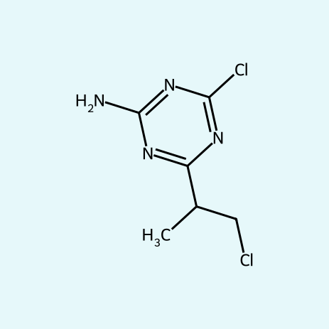 CC(CCl)c1nc(N)nc(Cl)n1